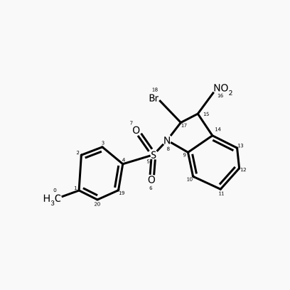 Cc1ccc(S(=O)(=O)N2c3ccccc3C([N+](=O)[O-])C2Br)cc1